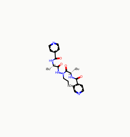 CCCCCCCCCCCCN(NC(=O)[C@@H](NC(=O)c1ccncc1)C(C)CC)C(=O)[C@@H](NC(=O)c1ccncc1)C(C)CC